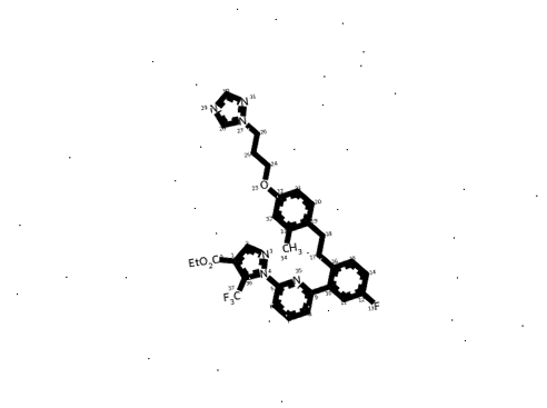 CCOC(=O)c1cnn(-c2cccc(-c3cc(F)ccc3CCc3ccc(OCCCn4cncn4)cc3C)n2)c1C(F)(F)F